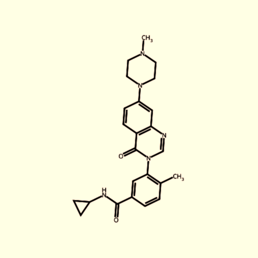 Cc1ccc(C(=O)NC2CC2)cc1-n1cnc2cc(N3CCN(C)CC3)ccc2c1=O